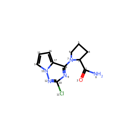 NC(=O)C1CCCN1c1nc(Cl)nn2cccc12